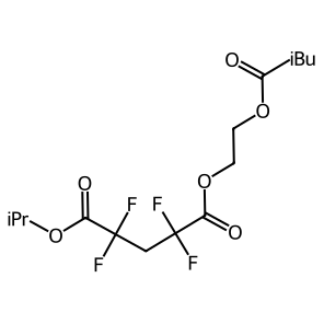 CCC(C)C(=O)OCCOC(=O)C(F)(F)CC(F)(F)C(=O)OC(C)C